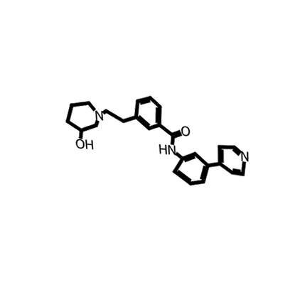 O=C(Nc1cccc(-c2ccncc2)c1)c1cccc(CCN2CCCC(O)C2)c1